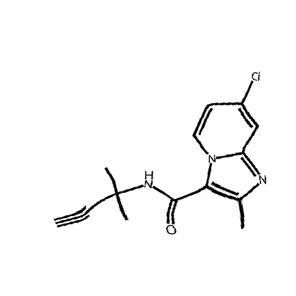 C#CC(C)(C)NC(=O)c1c(C)nc2cc(Cl)ccn12